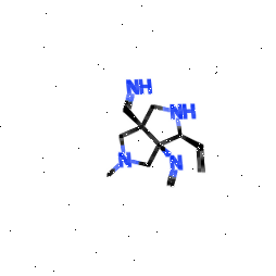 C=C[C@@H]1NC[C@@]2(C=N)CN(C)C[C@@]12N=C